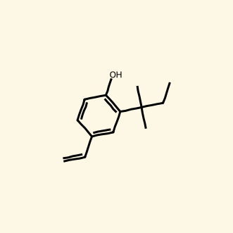 C=Cc1ccc(O)c(C(C)(C)CC)c1